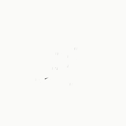 O=C(O)[C@H](CO)[NH][SbH][P](=O)(O)O